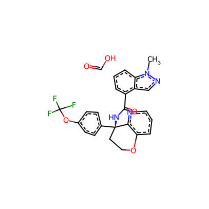 Cn1ncc2c(C(=O)N[C@]3(c4ccc(OC(F)(F)F)cc4)CCOc4cccnc43)cccc21.O=CO